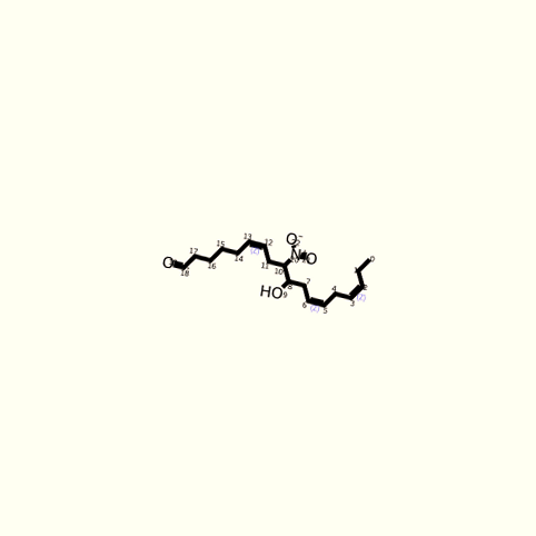 CC/C=C\C/C=C\CC(O)C(C/C=C\CCCC[C]=O)[N+](=O)[O-]